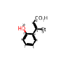 CCC(=CC(=O)O)c1ccccc1O